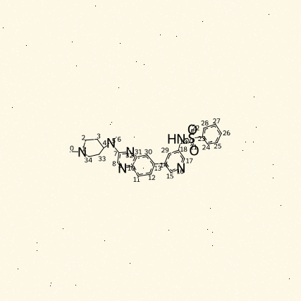 CN1CCC(N(C)c2cnc3ccc(-c4cncc(NS(=O)(=O)c5ccccc5)c4)cc3n2)CC1